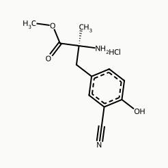 COC(=O)[C@@](C)(N)Cc1ccc(O)c(C#N)c1.Cl